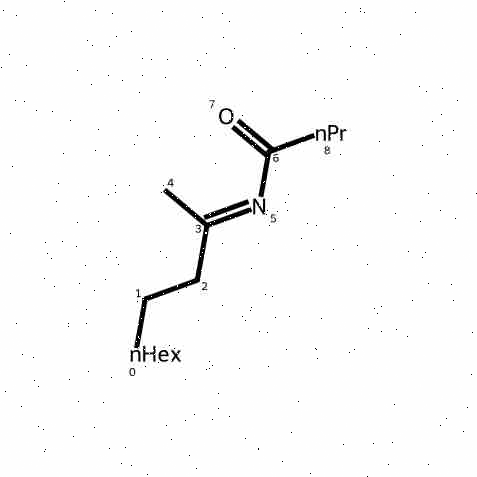 CCCCCCCC/C(C)=N/C(=O)CCC